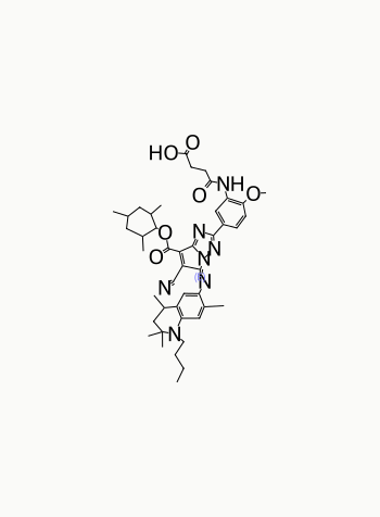 CCCCN1c2cc(C)c(/N=C3\C(C#N)=C(C(=O)OC4C(C)CC(C)CC4C)c4nc(-c5ccc(OC)c(NC(=O)CCC(=O)O)c5)nn43)cc2C(C)CC1(C)C